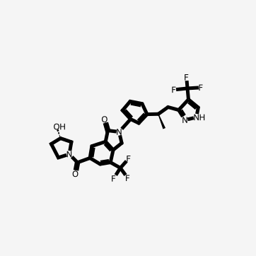 C[C@H](Cc1n[nH]cc1C(F)(F)F)c1cccc(N2Cc3c(cc(C(=O)N4CC[C@H](O)C4)cc3C(F)(F)F)C2=O)c1